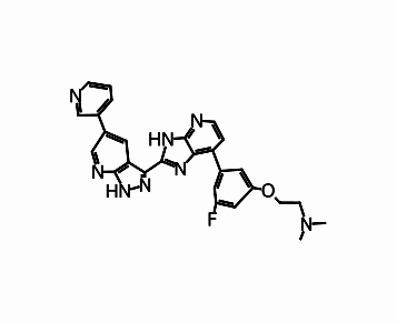 CN(C)CCOc1cc(F)cc(-c2ccnc3[nH]c(-c4n[nH]c5ncc(-c6cccnc6)cc45)nc23)c1